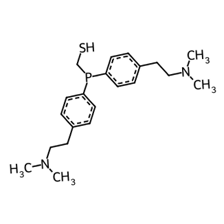 CN(C)CCc1ccc(P(CS)c2ccc(CCN(C)C)cc2)cc1